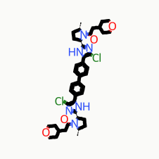 C[C@H]1CC[C@@H](c2nc(Cl)c(-c3ccc(-c4ccc(-c5[nH]c([C@@H]6CC[C@H](C)N6C(=O)CC6CCOCC6)nc5Cl)cc4)cc3)[nH]2)N1C(=O)CC1CCOCC1